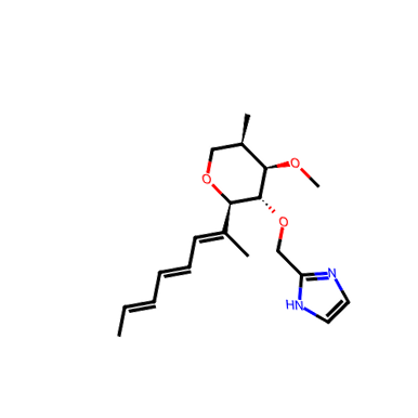 C/C=C/C=C/C=C(\C)[C@H]1OC[C@@H](C)[C@@H](OC)[C@@H]1OCc1ncc[nH]1